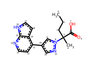 CCCC(C)(C(=O)O)n1cc(-c2ccnc3[nH]ccc23)cn1